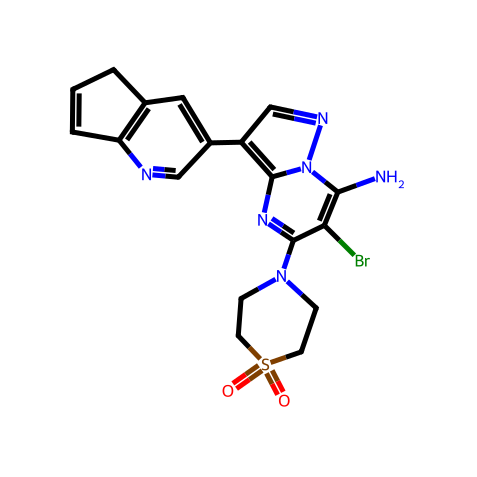 Nc1c(Br)c(N2CCS(=O)(=O)CC2)nc2c(-c3cnc4c(c3)CC=C4)cnn12